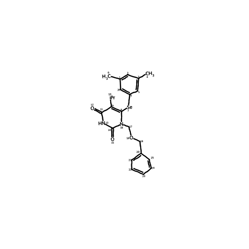 Cc1cc(C)cc([Se]c2c(C(C)C)c(=O)[nH]c(=O)n2COCc2ccccc2)c1